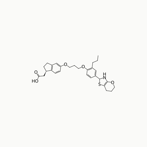 CCCc1cc(C2NC3=C(CCCO3)S2)ccc1OCCCOc1ccc2c(c1)CC[C@@H]2CC(=O)O